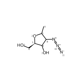 CC1O[C@H](CO)C(O)C1N=[N+]=[N-]